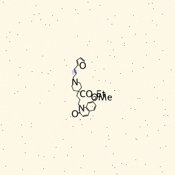 CCOC(=O)C1(CCCn2c(=O)ccc3ccc(OC)cc32)CCN(C/C=C/c2ccco2)CC1